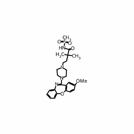 COc1ccc2c(c1)C(N1CCN(CCC(C)(C)C(=O)NS(C)(=O)=O)CC1)=Nc1ccccc1O2